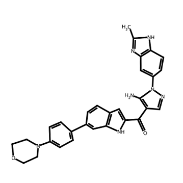 Cc1nc2cc(-n3ncc(C(=O)c4cc5ccc(-c6ccc(N7CCOCC7)cc6)cc5[nH]4)c3N)ccc2[nH]1